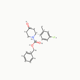 Cc1cc(F)ccc1[C@H]1CC(=O)CCN1C(=O)OCc1ccccc1